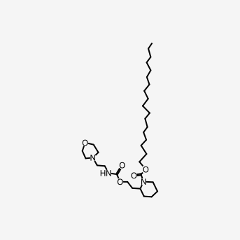 CCCCCCCCCCCCCCCCCCOC(=O)N1CCCCC1CCOC(=O)NCCN1CCOCC1